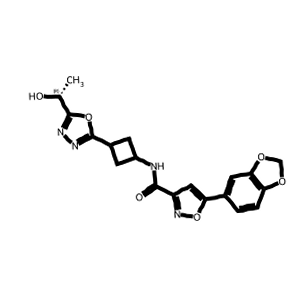 C[C@@H](O)c1nnc(C2CC(NC(=O)c3cc(-c4ccc5c(c4)OCO5)on3)C2)o1